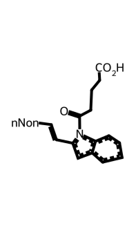 CCCCCCCCCC=Cc1cc2ccccc2n1C(=O)CCCC(=O)O